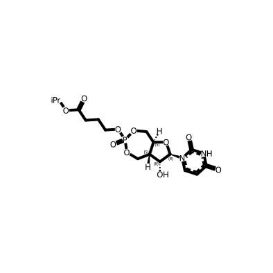 CC(C)OC(=O)CCCOP1(=O)OC[C@H]2[C@@H](O)[C@H](n3ccc(=O)[nH]c3=O)O[C@@H]2CO1